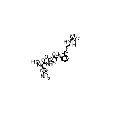 N=C(N)NCCSCc1ncccc1SC1=C(C(=O)O)N2C(=O)[C@@H](NC(=O)/C(=N\O)c3nsc(N)n3)[C@@H]2SC1